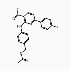 CC(=O)OCc1ccc(Nc2nc(-c3ccc(F)cc3)ccc2[N+](=O)[O-])cc1